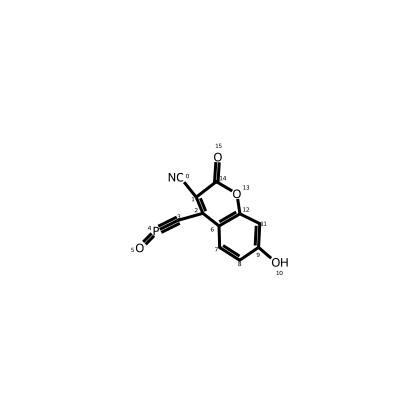 N#Cc1c(C#P=O)c2ccc(O)cc2oc1=O